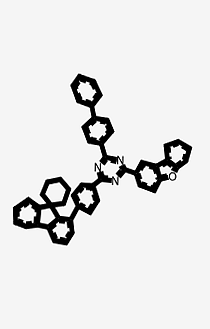 c1ccc(-c2ccc(-c3nc(-c4ccc(-c5cccc6c5C5(CCCCC5)c5ccccc5-6)cc4)nc(-c4ccc5oc6ccccc6c5c4)n3)cc2)cc1